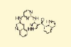 O=C(c1c[nH]nc1Nc1nccc(Nc2cnc3ccccc3c2)n1)c1cccc2cc[nH]c12